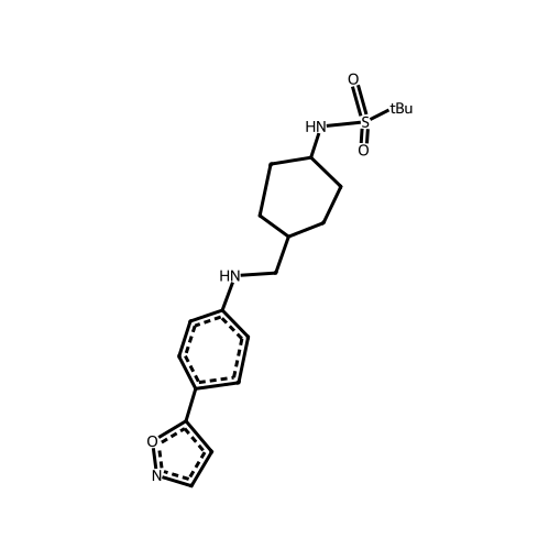 CC(C)(C)S(=O)(=O)NC1CCC(CNc2ccc(-c3ccno3)cc2)CC1